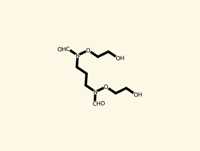 O=CN(CCCN(C=O)OCCO)OCCO